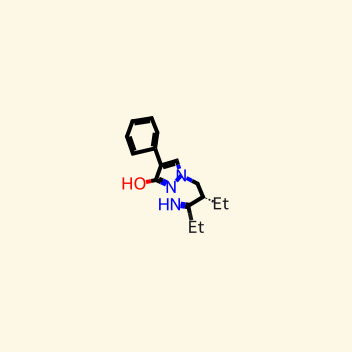 CCC(=N)[C@@H](CC)Cn1cc(-c2ccccc2)c(O)n1